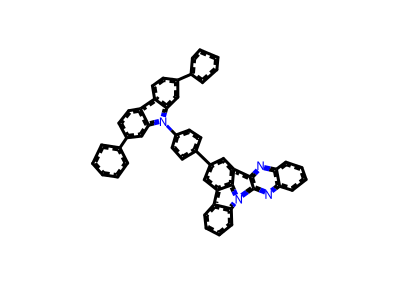 c1ccc(-c2ccc3c4ccc(-c5ccccc5)cc4n(-c4ccc(-c5cc6c7ccccc7n7c8nc9ccccc9nc8c(c5)c67)cc4)c3c2)cc1